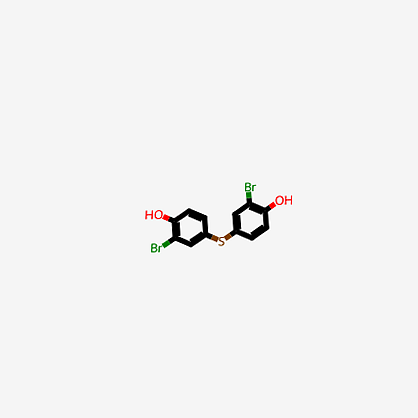 Oc1ccc(Sc2ccc(O)c(Br)c2)cc1Br